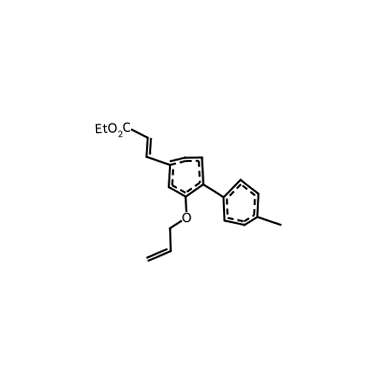 C=CCOc1cc(/C=C/C(=O)OCC)ccc1-c1ccc(C)cc1